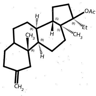 C=C1CCC2CC[C@@H]3[C@@H](CC[C@@]4(C)[C@H]3CC[C@@]4(CC)OC(C)=O)[C@]2(C)C1